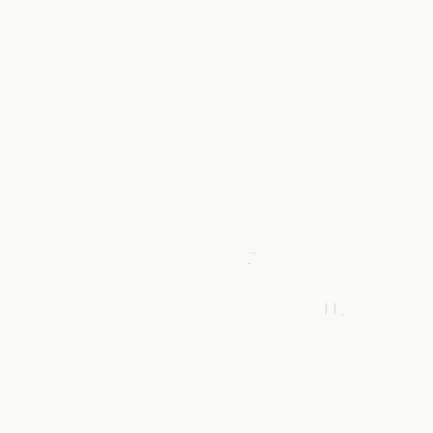 C.C1=C[CH]([Zr]2([CH]3C=Cc4ccccc43)[CH2][CH2]2)c2ccccc21